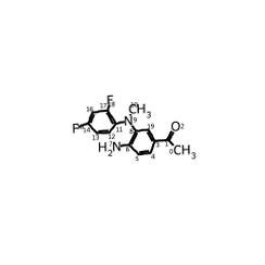 CC(=O)c1ccc(N)c(N(C)c2ccc(F)cc2F)c1